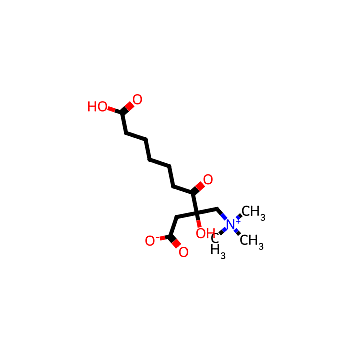 C[N+](C)(C)CC(O)(CC(=O)[O-])C(=O)CCCCCC(=O)O